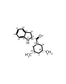 C[C@@H]1C[C@H](C)CN(C(=O)[C@H]2Cc3ccccc3N2)C1